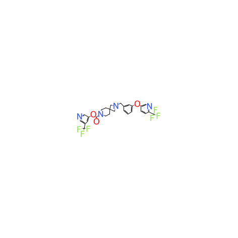 O=C(Oc1cncc(C(F)(F)F)c1)N1CCC2(CC1)CN(Cc1cccc(Oc3ccc(C(F)(F)F)nc3)c1)C2